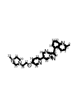 Cc1ccc2c(-c3cnn4cc(-c5ccc(OCCN6CCN(C)CC6)cn5)cnc34)cccc2n1